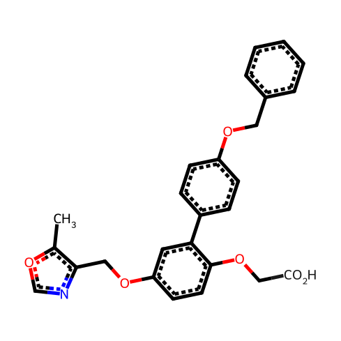 Cc1ocnc1COc1ccc(OCC(=O)O)c(-c2ccc(OCc3ccccc3)cc2)c1